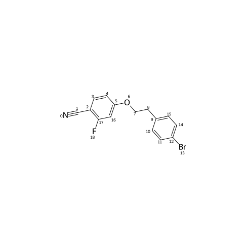 N#Cc1ccc(OCCc2ccc(Br)cc2)cc1F